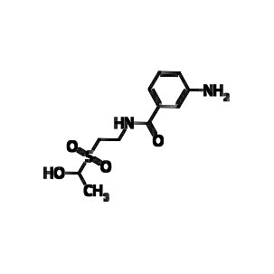 CC(O)S(=O)(=O)CCNC(=O)c1cccc(N)c1